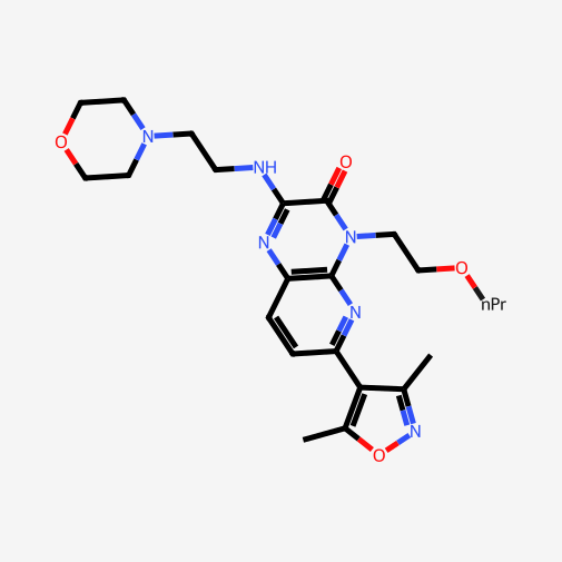 CCCOCCn1c(=O)c(NCCN2CCOCC2)nc2ccc(-c3c(C)noc3C)nc21